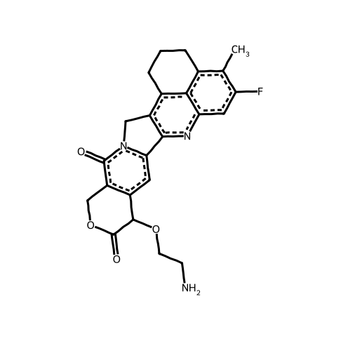 Cc1c(F)cc2nc3c(c4c2c1CCC4)Cn1c-3cc2c(c1=O)COC(=O)C2OCCN